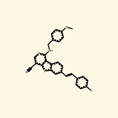 COc1ccc(CNc2ncc(C#N)c3sc4cc(/C=C/c5ccc(F)cc5)ccc4c23)cc1